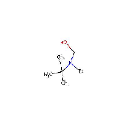 CCN(CO)C(C)(C)C